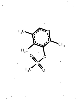 Cc1cnc(C)c(OS(C)(=O)=O)c1C